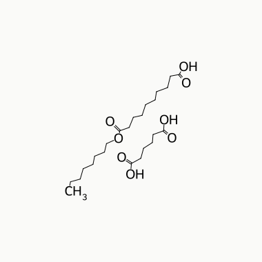 CCCCCCCCOC(=O)CCCCCCCCC(=O)O.O=C(O)CCCCC(=O)O